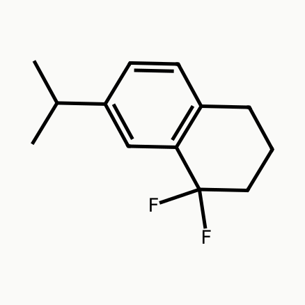 CC(C)c1ccc2c(c1)C(F)(F)CCC2